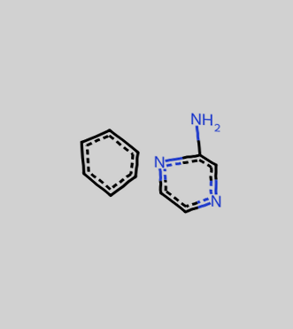 Nc1cnccn1.c1ccccc1